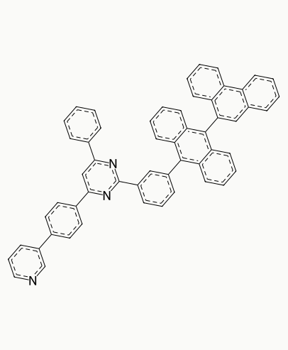 c1ccc(-c2cc(-c3ccc(-c4cccnc4)cc3)nc(-c3cccc(-c4c5ccccc5c(-c5cc6ccccc6c6ccccc56)c5ccccc45)c3)n2)cc1